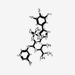 C[C@@H](O)C(CO)OC(Sc1cncc(Br)c1)[C@H](Cn1cc(-c2cc(F)c(F)c(F)c2)nn1)OP(=O)(O)O